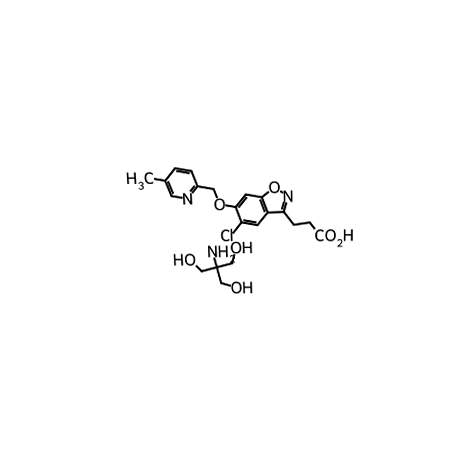 Cc1ccc(COc2cc3onc(CCC(=O)O)c3cc2Cl)nc1.NC(CO)(CO)CO